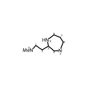 CNCCC1C[N]CCCN1